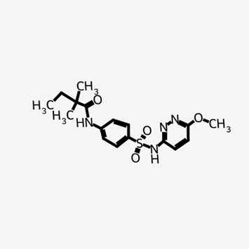 CCC(C)(C)C(=O)Nc1ccc(S(=O)(=O)Nc2ccc(OC)nn2)cc1